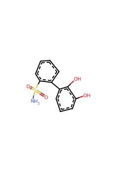 NS(=O)(=O)c1ccccc1-c1cccc(O)c1O